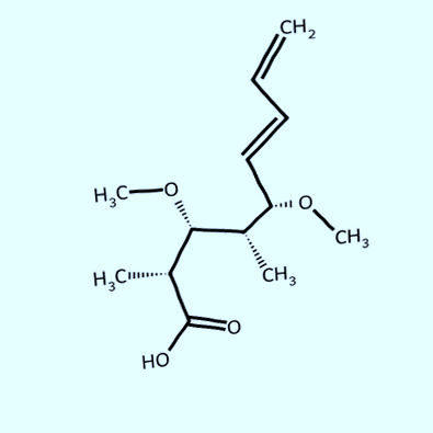 C=C/C=C/[C@H](OC)[C@H](C)[C@@H](OC)[C@@H](C)C(=O)O